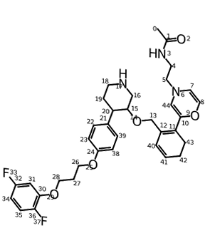 CC(=O)NCCN1C=COC(C2=C(COC3CNCCC3c3ccc(OCCCOc4cc(F)ccc4F)cc3)C=CCC2)=C1